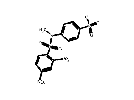 CN(c1ccc(S(=O)(=O)Cl)cc1)S(=O)(=O)c1ccc([N+](=O)[O-])cc1[N+](=O)[O-]